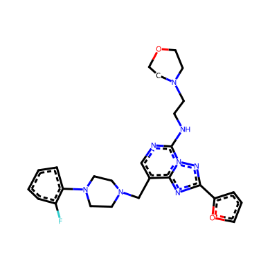 Fc1ccccc1N1CCN(Cc2cnc(NCCN3CCOCC3)n3nc(-c4ccco4)nc23)CC1